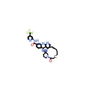 N=C(c1ccc(C(=O)Nc2cc(C(F)(F)F)ccn2)cc1)c1c(N)ncc2c1N[C@@H]1CCCN(C1)C(=O)CCCCC/C=C/2